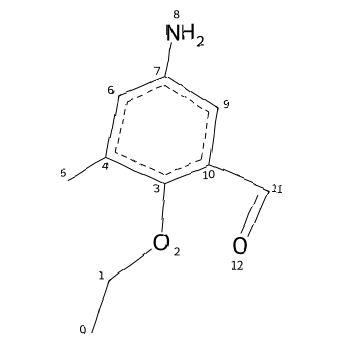 CCOc1c(C)cc(N)cc1C=O